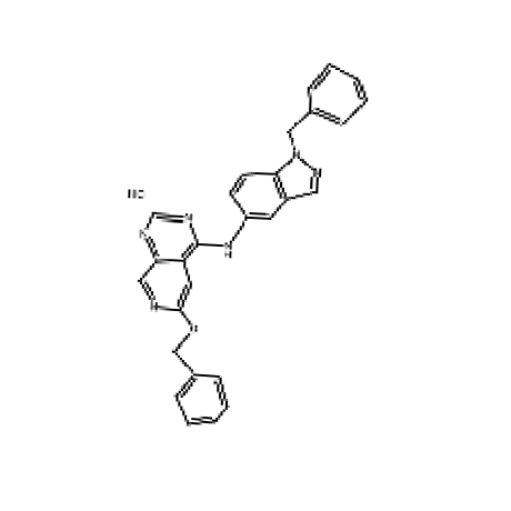 Cl.c1ccc(COc2cc3c(Nc4ccc5c(cnn5Cc5ccccc5)c4)ncnc3cn2)cc1